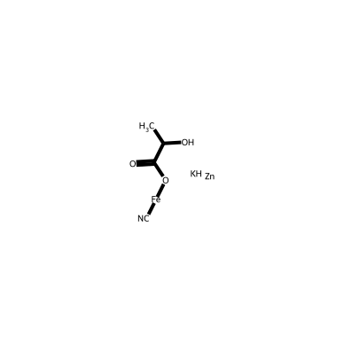 CC(O)C(=O)[O][Fe][C]#N.[KH].[Zn]